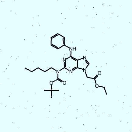 CCCCCN(C(=O)OC(C)(C)C)c1nc(Nc2ccccc2)c2ncn(CC(=O)OCC)c2n1